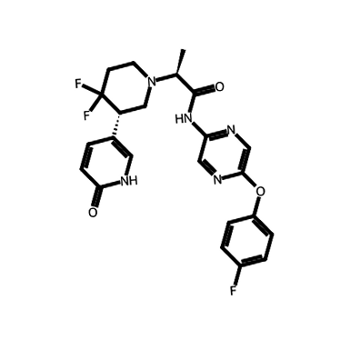 C[C@@H](C(=O)Nc1cnc(Oc2ccc(F)cc2)cn1)N1CCC(F)(F)[C@@H](c2ccc(=O)[nH]c2)C1